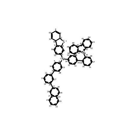 C1=CC2Sc3cc(N(c4ccc(-c5cccc(-c6ccc7ccccc7c6)c5)cc4)c4ccc(-c5ccccc5-n5c6ccccc6c6ccccc65)cc4)ccc3C2C=C1